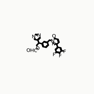 O=COCC(c1cncnc1)c1cccc(Cn2nc(-c3cc(F)c(F)c(F)c3)ccc2=O)c1